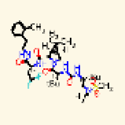 Cc1ccccc1CCNC(=O)[C@H](CC(F)F)NC(=O)[C@@H]1[C@@H]2[C@H](CN1C(=O)[C@@H](NC(=O)N[C@H](CN(C)S(C)(=O)=O)C(C)(C)C)C(C)(C)C)C2(C)C